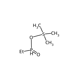 CC[PH](=O)OS(C)(C)C